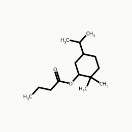 CCCC(=O)OC1CC(C(C)C)CCC1(C)C